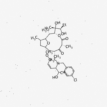 CC[C@@H](O)[C@@](C)(O)[C@@H]1OC(=O)[C@H](C)C(=O)[C@H](C)[C@H](OO/C=C\C(C(C)O)N(C)Cc2ccc(Cl)cc2)[C@@]2(C)CC(C)C(O2)[C@@H]1C